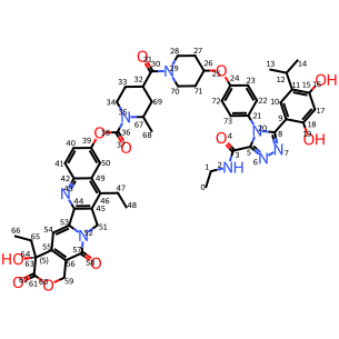 CCNC(=O)c1nnc(-c2cc(C(C)C)c(O)cc2O)n1-c1ccc(OC2CCN(C(=O)C3CCN(C(=O)Oc4ccc5nc6c(c(CC)c5c4)Cn4c-6cc5c(c4=O)COC(=O)[C@]5(O)CC)C(C)C3)CC2)cc1